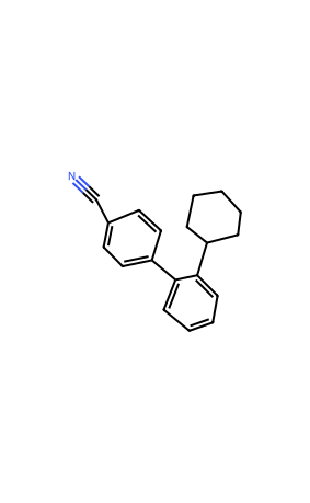 N#Cc1ccc(-c2ccccc2C2CCCCC2)cc1